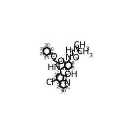 CN(C)CC(=O)Nc1cccc(C(NC(=O)COc2ccccc2)c2cc(Cl)c3cccnc3c2O)c1